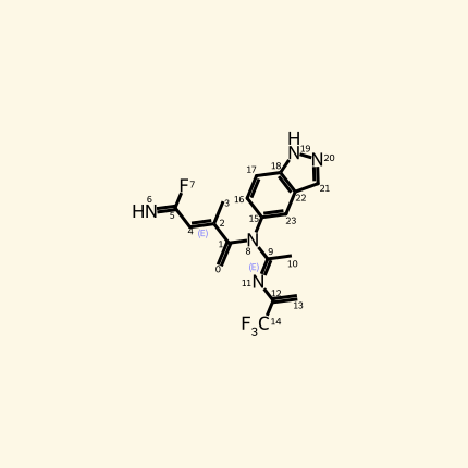 C=C(/C(C)=C/C(=N)F)N(/C(C)=N/C(=C)C(F)(F)F)c1ccc2[nH]ncc2c1